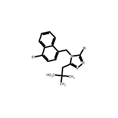 CCc1ccc(Cn2c(Br)nnc2CC(C)(C)C(=O)O)c2ccccc12